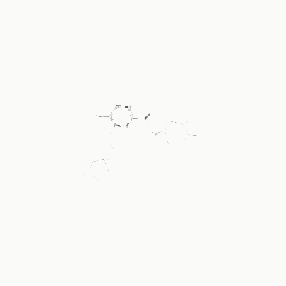 CN1CCC(NC(=O)c2ccc(N)c(OCC3CCOC3)c2)CC1